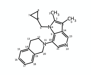 Cc1c(C)n(CC2CC2)c2c(N3CCc4ccccc4C3)cncc12